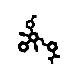 CNC(=O)c1cc(CSc2nc(N3CC[C@@H](O)C3)c(C#N)c(-c3ccccc3)c2C#N)ccn1